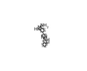 Nc1n[nH]c2cc(-c3cnc(NCc4ccccc4Cl)nc3)ccc12